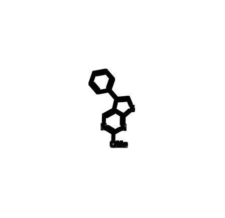 COc1ncc2c(-c3ccccc3)csc2n1